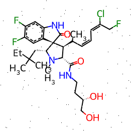 CCC(C)(C)C[C@H]1N(C)[C@@H](C(=O)NCC[C@H](O)CO)[C@H](C(C)/C=C\C=C(\Cl)CF)[C@@]12C(=O)Nc1cc(F)c(F)cc12